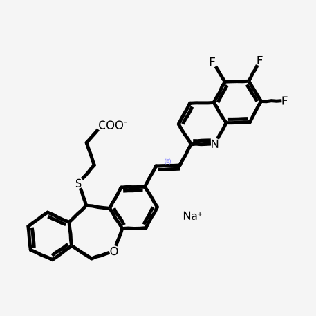 O=C([O-])CCSC1c2ccccc2COc2ccc(/C=C/c3ccc4c(F)c(F)c(F)cc4n3)cc21.[Na+]